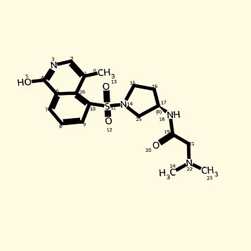 Cc1cnc(O)c2cccc(S(=O)(=O)N3CC[C@@H](NC(=O)CN(C)C)C3)c12